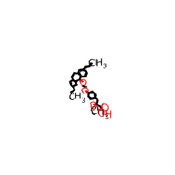 CCCc1ccc2c(c1)C=Cc1ccc(CCC)cc1C2OCCOc1ccc(CC(OC)C(=O)O)cc1